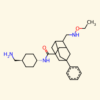 CCONCC1C2CC3(C(=O)N[C@H]4CC[C@H](CN)CC4)CC1CC(c1ccccc1)(C2)C3